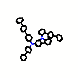 c1ccc(-c2ccc(-c3ccc(N(c4ccc(-c5ccccc5)cc4)c4ccc5c6ccccc6n(-c6ccccc6-c6ccc(-c7ccccc7)cc6)c5c4)cc3)cc2)cc1